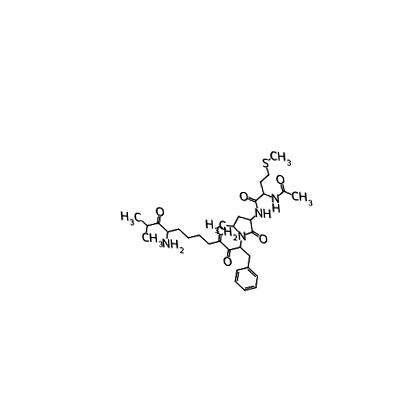 C=C(CCCCC(N)C(=O)C(C)C)C(=O)C(Cc1ccccc1)N1C(=O)C(NC(=O)C(CCSC)NC(C)=O)CC1C